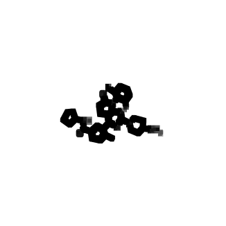 Cc1ccc(C(=O)NC2CCCC2)cc1-c1nc(N2CCC(N)CC2)nc2c1ccc(=O)n2-c1c(F)cccc1F